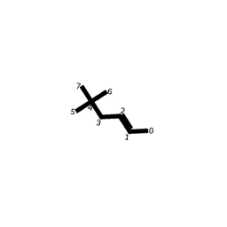 C/C=C/CC(C)(C)C